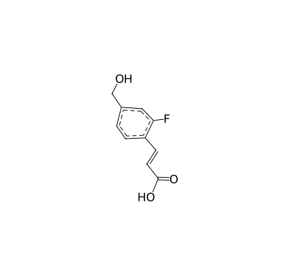 O=C(O)C=Cc1ccc(CO)cc1F